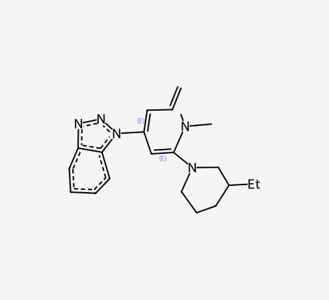 C=C/C=C(\C=C(/N(C)C)N1CCCC(CC)C1)n1nnc2ccccc21